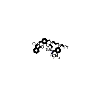 C/C=C\c1cc(N(CCCN(Cc2ccc(CN3C(=O)c4ccccc4C3=O)cc2)C(=O)CC(C)(C)C)CC(C)C)ccc1C